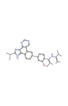 CC(C)=C(NC1=C(C)COc2cc(-c3ccc4c(c3)c3cncnc3c3nc(C(C)C)[nH]c43)ccc21)C(C)C